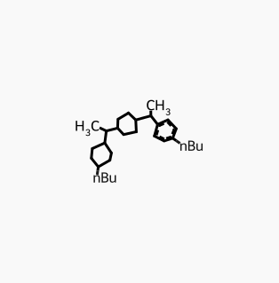 CCCCc1ccc(C(C)C2CCC(C(C)C3CCC(CCCC)CC3)CC2)cc1